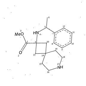 COC(=O)C1(NC(C)c2ccccc2)CC2(CCNCC2)C1